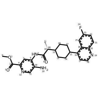 COC(=O)c1cc(NC(=O)[C@H](C)C2CCC(c3ccnc4ccc(F)cc34)CC2)c(N)cn1